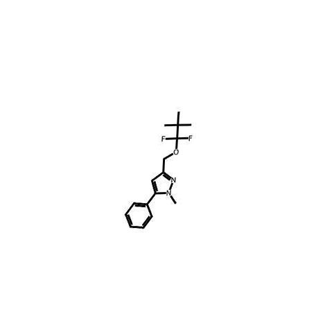 Cn1nc(COC(F)(F)C(C)(C)C)cc1-c1ccccc1